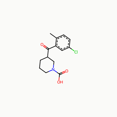 Cc1ccc(Cl)cc1C(=O)C1CCCN(C(=O)O)C1